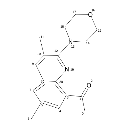 CC(=O)c1cc(C)cc2cc(C)c(N3CCOCC3)nc12